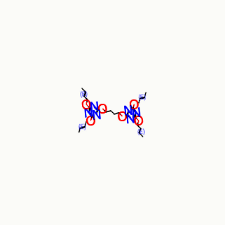 C/C=C/COc1nc(OC/C=C/C)nc(OCCCCOc2nc(OC/C=C/C)nc(OC/C=C/C)n2)n1